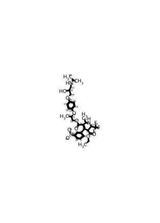 CCOC(=O)C1C(c2cccc([N+](=O)[O-])c2)=C(C(=O)OCC(C)Oc2ccc(OCC(O)CNC(C)C)cc2)C(C)NC1C(F)(F)F